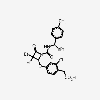 CCC[C@@H](NC(=O)N1C(=O)C(CC)(CC)[C@@H]1Oc1ccc(CC(=O)O)c(Cl)c1)c1ccc(C)cc1